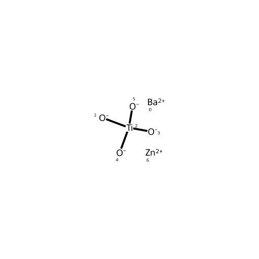 [Ba+2].[O-][Ti]([O-])([O-])[O-].[Zn+2]